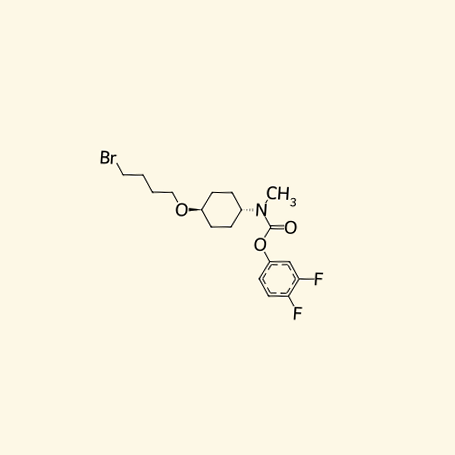 CN(C(=O)Oc1ccc(F)c(F)c1)[C@H]1CC[C@H](OCCCCBr)CC1